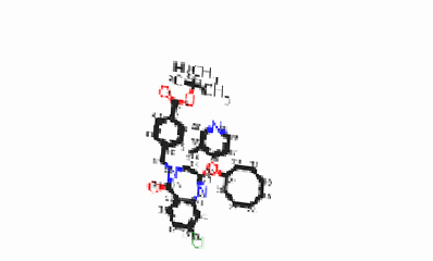 CC(C)(C)OC(=O)c1ccc(CN2C(=O)c3ccc(Cl)cc3N=C(OC3CCCCCCC3)[C@H]2Cc2cccnc2)cc1